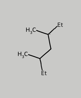 CC[C](C)CC(C)CC